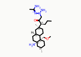 CCC[C@H](C(=O)CN(N)/N=C(/C)N)[C@@]1(C)CCC2[C@@H](CC[C@]3(N)C[C@@H](C)CC[C@]23COC)C1